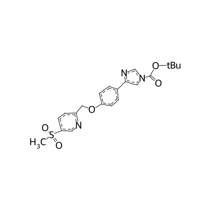 CC(C)(C)OC(=O)n1cnc(-c2ccc(OCc3ccc(S(C)(=O)=O)cn3)cc2)c1